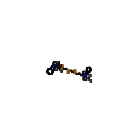 C[N+](C)(CCCSCCSCCSCC[N+](C)(C)Cc1ccccc1)Cc1ccccc1